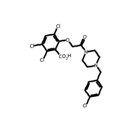 O=C(O)c1c(Cl)c(Cl)cc(Cl)c1OCC(=O)N1CCN(Cc2ccc(Cl)cc2)CC1